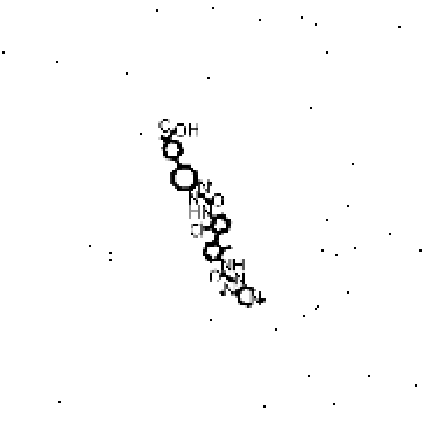 Cc1c(NC(=O)c2nc3c(n2C)CCN(C)C3)cccc1-c1cccc(NC(=O)c2nc3c(n2C)CCC(C2CCC(C)(C(=O)O)CC2)CCC3)c1Cl